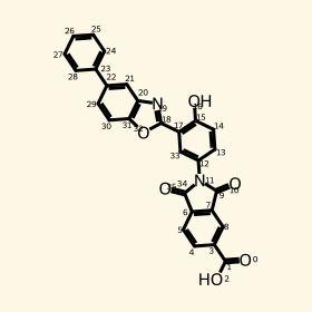 O=C(O)c1ccc2c(c1)C(=O)N(c1ccc(O)c(-c3nc4cc(-c5ccccc5)ccc4o3)c1)C2=O